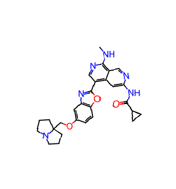 CNc1ncc(-c2nc3cc(OCC45CCCN4CCC5)ccc3o2)c2cc(NC(=O)C3CC3)ncc12